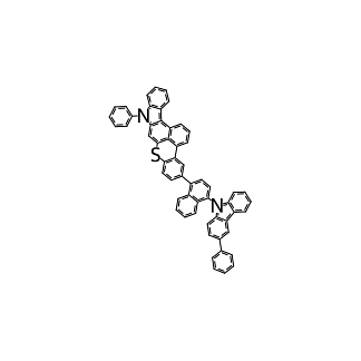 c1ccc(-c2ccc3c(c2)c2ccccc2n3-c2ccc(-c3ccc4c(c3)-c3cccc5c3c(cc3c5c5ccccc5n3-c3ccccc3)S4)c3ccccc23)cc1